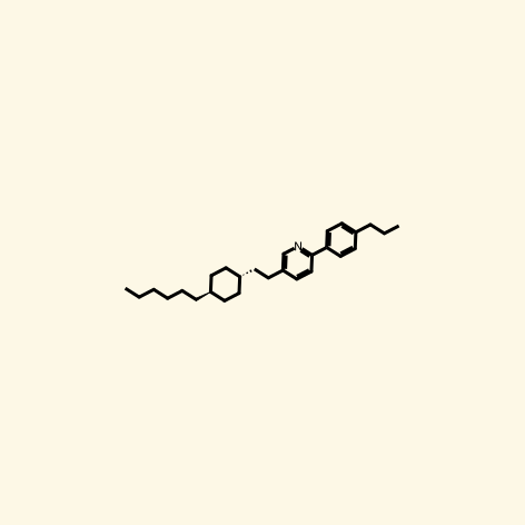 CCCCCC[C@H]1CC[C@H](CCc2ccc(-c3ccc(CCC)cc3)nc2)CC1